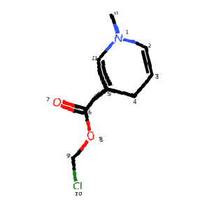 CN1C=CCC(C(=O)OCCl)=C1